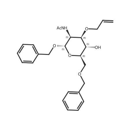 C=CCO[C@H]1[C@H](O)[C@@H](COCc2ccccc2)O[C@H](OCc2ccccc2)[C@H]1NC(C)=O